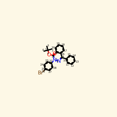 CC(C)(C)OC(=O)N(N=C(c1ccccc1)c1ccccc1)c1ccc(Br)cc1